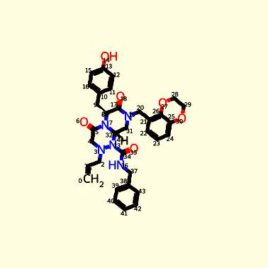 C=CCN1CC(=O)N2[C@@H](Cc3ccc(O)cc3)C(=O)N(Cc3cccc4c3OCCO4)C[C@@H]2N1C(=O)NCc1ccccc1